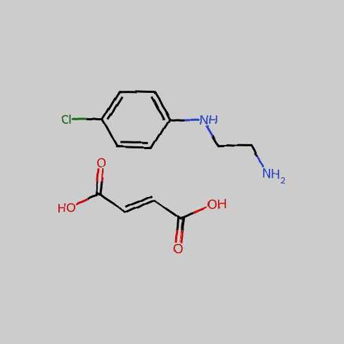 NCCNc1ccc(Cl)cc1.O=C(O)C=CC(=O)O